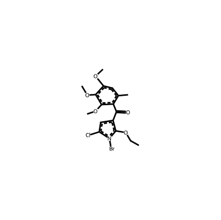 CCOc1c(C(=O)c2c(C)cc(OC)c(OC)c2OC)cc(Cl)n1Br